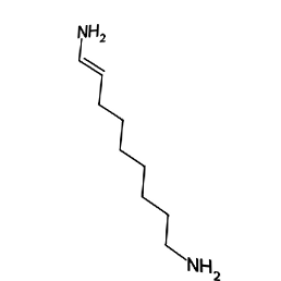 NC=CCCCCCCCN